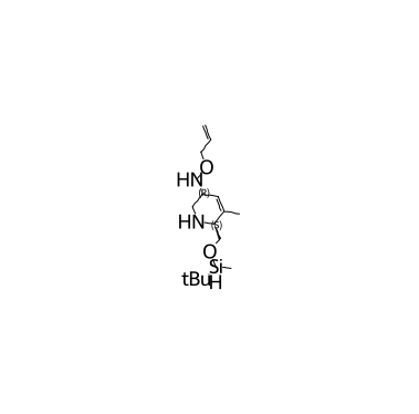 C=CCON[C@@H]1C=C(C)[C@@H](CO[SiH](C)C(C)(C)C)NC1